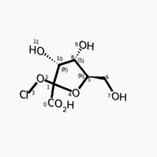 O=C(O)C1(OCl)O[C@H](CO)[C@@H](O)[C@H]1O